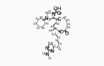 C/C(=C\C=C\C(C)c1ccnc(N(C)C)n1)[C@H]1OC(=O)CCCCCC(C2CN(C3CCCCCC3)CCN2C(=O)O)/C=C/[C@@H]1C